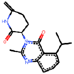 C=C1CC[C@@H](n2c(C)nc3cccc(C(C)C)c3c2=O)C(=O)N1